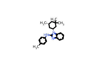 Cc1ccc(Nc2nc3ccccc3n2[C@@H]2C[C@H](C)CC(C)(C)C2)cc1